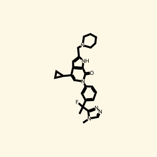 Cn1cnnc1C(C)(F)c1cccc(-n2cc(C3CC3)c3cc(CN4CCCCC4)[nH]c3c2=O)c1